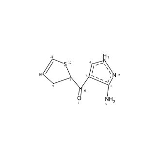 Nc1n[nH]cc1C(=O)C1CC=CS1